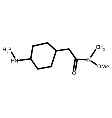 CON(C)C(=O)CC1CCC(NP)CC1